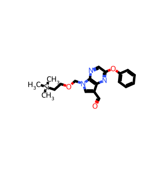 C[Si](C)(C)CCOCn1cc(C=O)c2nc(Oc3ccccc3)cnc21